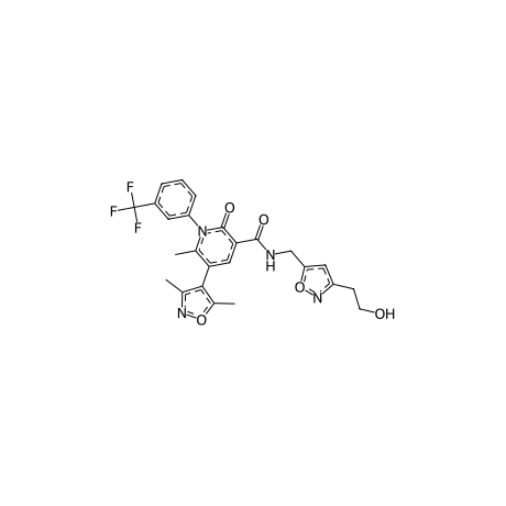 Cc1noc(C)c1-c1cc(C(=O)NCc2cc(CCO)no2)c(=O)n(-c2cccc(C(F)(F)F)c2)c1C